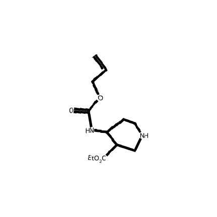 C=CCOC(=O)NC1CCNCC1C(=O)OCC